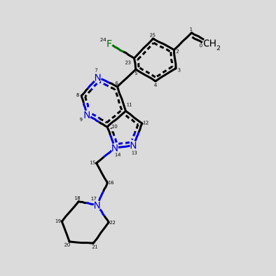 C=Cc1ccc(-c2ncnc3c2cnn3CCN2CCCCC2)c(F)c1